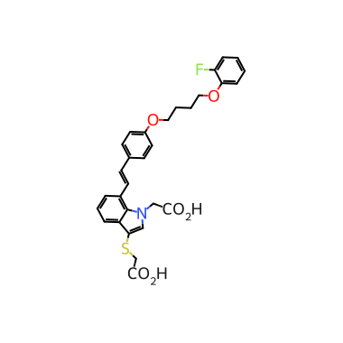 O=C(O)CSc1cn(CC(=O)O)c2c(C=Cc3ccc(OCCCCOc4ccccc4F)cc3)cccc12